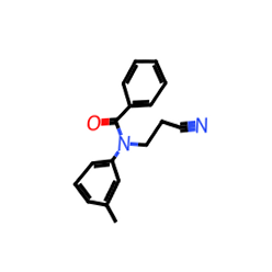 Cc1cccc(N(CCC#N)C(=O)c2ccccc2)c1